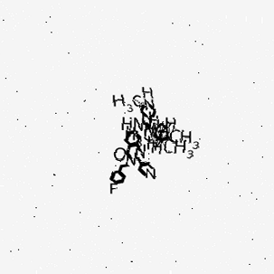 C[C@@H]1[C@@H](N=C(Nc2ccc3c(=O)n(CCc4ccc(F)cc4)c(-c4ccncc4)nc3c2)N2CCN[C@@H](C)C2)C[C@H]2C[C@@H]1C2(C)C